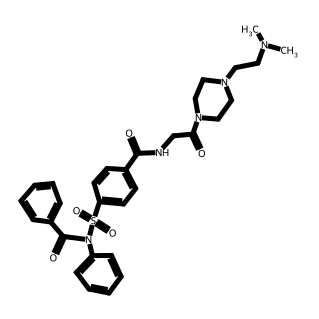 CN(C)CCN1CCN(C(=O)CNC(=O)c2ccc(S(=O)(=O)N(C(=O)c3ccccc3)c3ccccc3)cc2)CC1